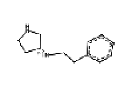 c1ccc(CCN[C@@H]2CCNC2)cc1